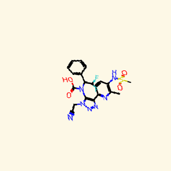 Cc1nc(-c2nnn(CC#N)c2N(C(=O)O)C(c2ccccc2)C(F)F)ccc1NS(C)(=O)=O